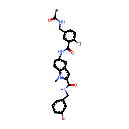 CC(C)C(=O)NCc1ccc(Cl)c(C(=O)Nc2ccc3c(c2)cc(C(=O)NCc2cccc(Br)c2)n3C)c1